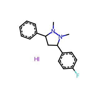 CN1C(c2ccccc2)CC(c2ccc(F)cc2)N1C.I